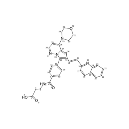 O=C(O)CCNC(=O)c1ccc(-c2c(/C=C/c3ccc4ccccc4n3)nc3c(N4CCOCC4)ccnn23)cc1